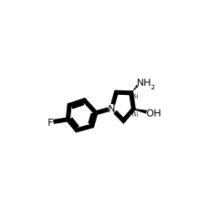 N[C@H]1CN(c2ccc(F)cc2)C[C@@H]1O